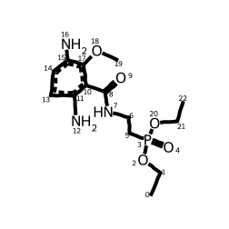 CCOP(=O)(CCNC(=O)c1c(N)ccc(N)c1OC)OCC